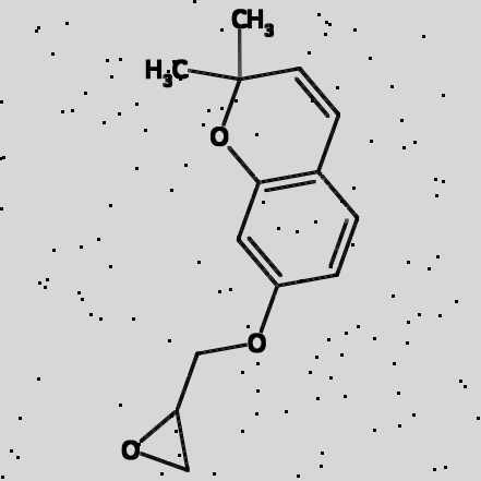 CC1(C)C=Cc2ccc(OCC3CO3)cc2O1